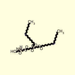 CCCCCCCC/C=C\CCCCCCCC(=O)OCC(COC(=O)CCC(=O)OCCNC(=O)C(N)CO)OC(=O)CCCCCCC/C=C\CCCCCCCC